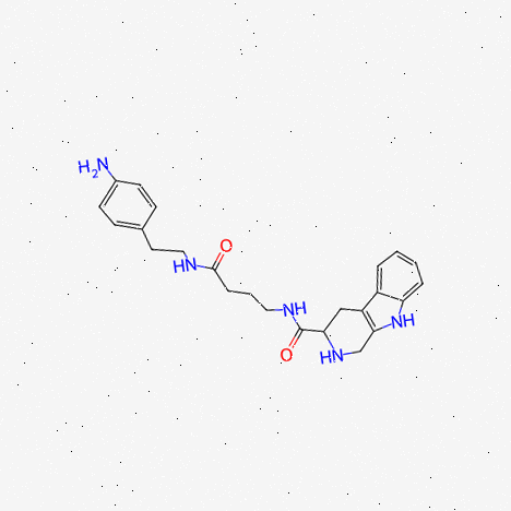 Nc1ccc(CCNC(=O)CCCNC(=O)C2Cc3c([nH]c4ccccc34)CN2)cc1